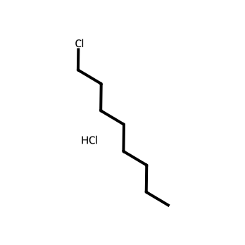 CCCCCCCCCl.Cl